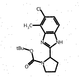 Cc1c(Cl)ccc2[nH]c(C3CCCN3C(=O)OC(C)(C)C)nc12